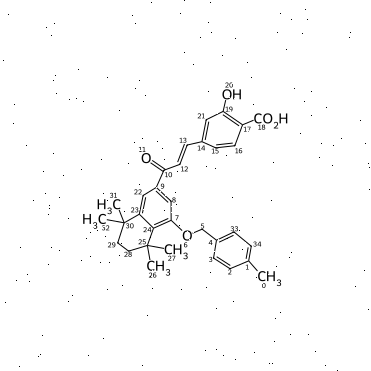 Cc1ccc(COc2cc(C(=O)/C=C/c3ccc(C(=O)O)c(O)c3)cc3c2C(C)(C)CCC3(C)C)cc1